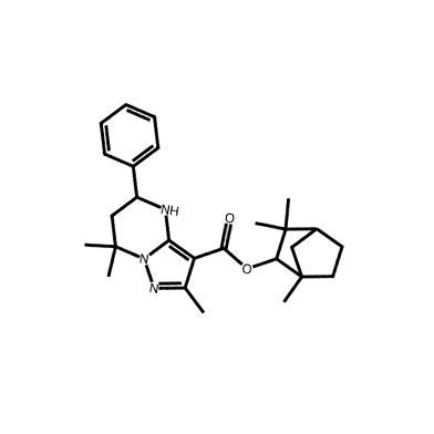 Cc1nn2c(c1C(=O)OC1C3(C)CCC(C3)C1(C)C)NC(c1ccccc1)CC2(C)C